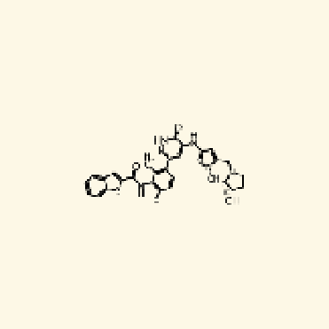 Cc1c(-c2cc(Nc3cc(CN4CC[C@H](O)C4)n(C)n3)c(=O)[nH]n2)ccc(F)c1NC(=O)c1cc2ccccc2s1